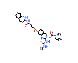 CCCN(CC(C)C)C(=O)CN1Cc2ccc(OCCCC(=O)NC3CCc4ccccc4N3)cc2N=C1NC(=O)NCC